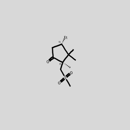 CC[C@H]1CC(=O)[C@](C)(CS(C)(=O)=O)C1(C)C